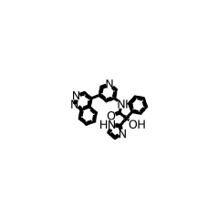 O=C(Nc1cncc(-c2cnnc3ccccc23)c1)[C@](O)(c1ccccc1)c1ncc[nH]1